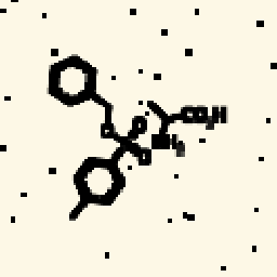 CC(N)C(=O)O.Cc1ccc(S(=O)(=O)OCc2ccccc2)cc1